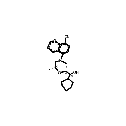 C[C@@H]1CN(c2ccc(C#N)c3ncccc23)C[C@H]([C@@H](O)C2CCCCC2)O1